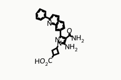 NC(=O)c1c(-c2ccc3ccc(-c4ccccc4)nc3c2)nn(C2CC(C(=O)O)C2)c1N